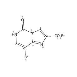 CCOC(=O)c1cn2c(=O)[nH]cc(Br)c2n1